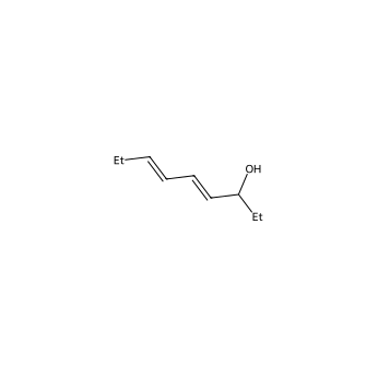 CCC=CC=CC(O)CC